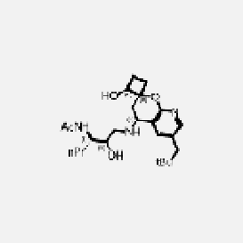 CCC[C@H](NC(C)=O)[C@H](O)CN[C@H]1C[C@@]2(CC[C@@H]2O)Oc2ncc(CC(C)(C)C)cc21